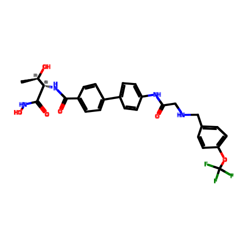 C[C@@H](O)[C@H](NC(=O)c1ccc(-c2ccc(NC(=O)CNCc3ccc(OC(F)(F)F)cc3)cc2)cc1)C(=O)NO